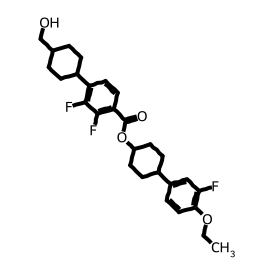 CCOc1ccc(C2CCC(OC(=O)c3ccc(C4CCC(CO)CC4)c(F)c3F)CC2)cc1F